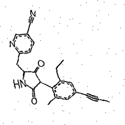 CC#Cc1cc(C)c(C2C(=O)NC(Cc3ccc(C#N)cn3)C2=O)c(CC)c1